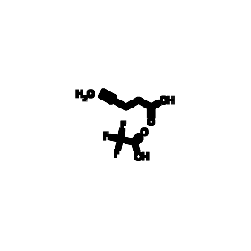 C#CCCC(=O)O.O.O=C(O)C(F)(F)F